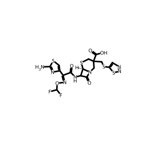 Nc1nc(C(=NOC(F)F)C(=O)NC2C(=O)N3CC(CSc4cnns4)(C(=O)O)CS[C@H]23)cs1